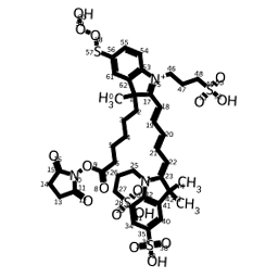 CC1(CCCCCC(=O)ON2C(=O)CCC2=O)C(/C=C/C=C/C=C2\N(CCCS(=O)(=O)O)c3ccc(S(=O)(=O)O)cc3C2(C)C)=[N+](CCCS(=O)(=O)O)c2ccc(SOOO)cc21